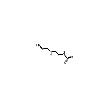 NCCNCCN[SH](=O)=O